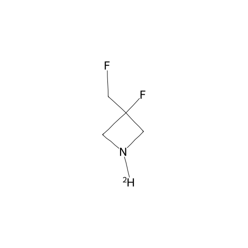 [2H]N1CC(F)(CF)C1